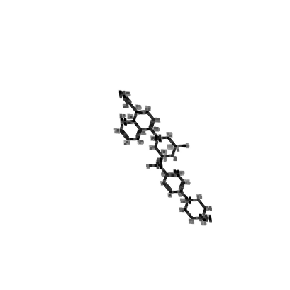 C[C@H]1C[C@@H](N(C)c2ccc(N3CCNCC3)cn2)CN(c2ccc(C#N)c3ncccc23)C1